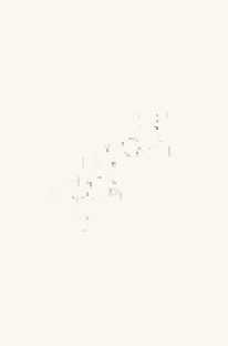 CCN(CC)C(=O)c1cc(S(=O)(=O)NC(=O)Nc2c(C(C)C)cc(F)cc2C(C)C)nn1C